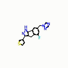 Fc1cc(Cn2cncn2)cc2c1Cc1c(-c3ccsc3)n[nH]c1-2